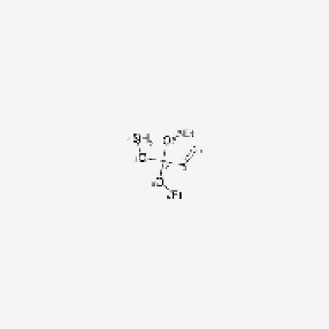 C=CC(O[SiH3])(OCC)OCC